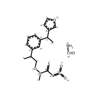 CC(CON(C)C(=S)N=S(=O)=O)c1cccc(C(C)c2ccoc2)c1.NC=O